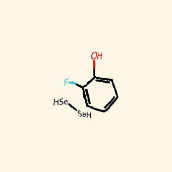 Oc1ccccc1F.[SeH][SeH]